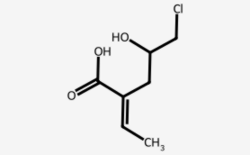 C/C=C(\CC(O)CCl)C(=O)O